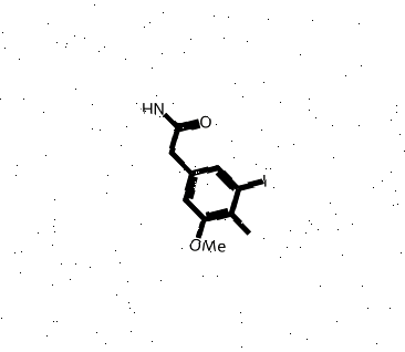 COc1cc(CC([NH])=O)cc(I)c1C